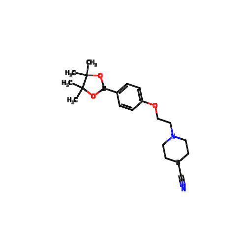 CC1(C)OB(c2ccc(OCCN3CCB(C#N)CC3)cc2)OC1(C)C